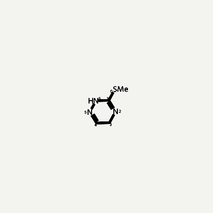 CSC1=NCC=NN1